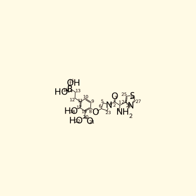 NC(C(=O)N1CC(Oc2ccc(CCB(O)O)c(O)c2C(=O)O)C1)c1cscn1